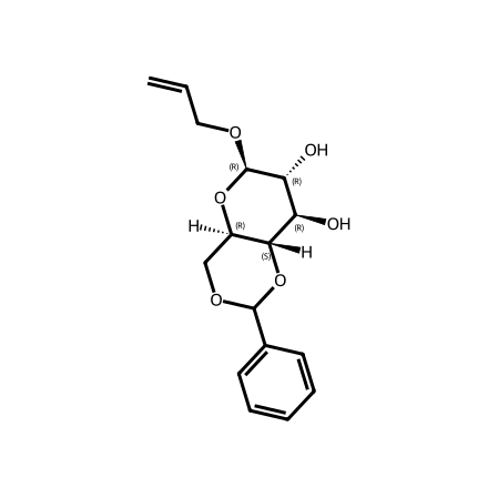 C=CCO[C@@H]1O[C@@H]2COC(c3ccccc3)O[C@H]2[C@H](O)[C@H]1O